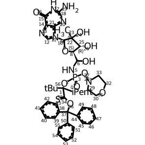 CCCC(C)C(OP(=O)(NC(O)[C@H]1O[C@@H](n2cnc3c(=O)[nH]c(N)nc32)[C@](C)(O)[C@@H]1O)ON1CCOCC1)(C(=S)OC(c1ccccc1)(c1ccccc1)c1ccccc1)C(C)(C)C